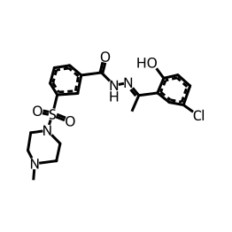 C/C(=N\NC(=O)c1cccc(S(=O)(=O)N2CCN(C)CC2)c1)c1cc(Cl)ccc1O